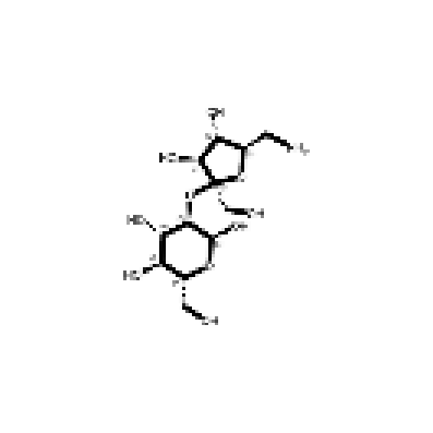 NC[C@H]1O[C@@](CO)(O[C@@H]2[C@@H](O)[C@H](O)[C@@H](CO)O[C@@H]2O)[C@@H](O)[C@@H]1O